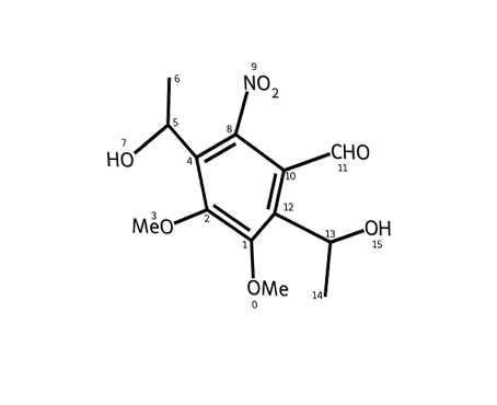 COc1c(OC)c(C(C)O)c([N+](=O)[O-])c(C=O)c1C(C)O